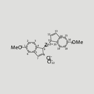 COc1ccc2c(c1)C=C[CH]2[Zr+2][CH]1C=Cc2cc(OC)ccc21.[Cl-].[Cl-]